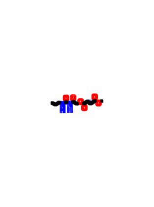 CCCNC(=O)NC(=O)COC(=O)/C=C/C(=O)OC